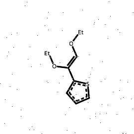 CCO[C]=C(OCC)c1cccs1